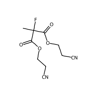 CC(F)(C(=O)OCCC#N)C(=O)OCCC#N